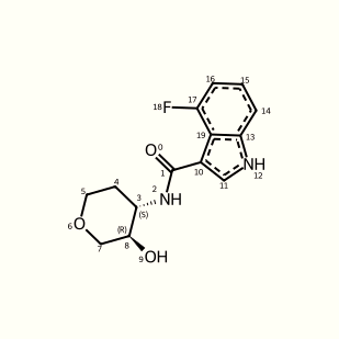 O=C(N[C@H]1CCOC[C@@H]1O)c1c[nH]c2cccc(F)c12